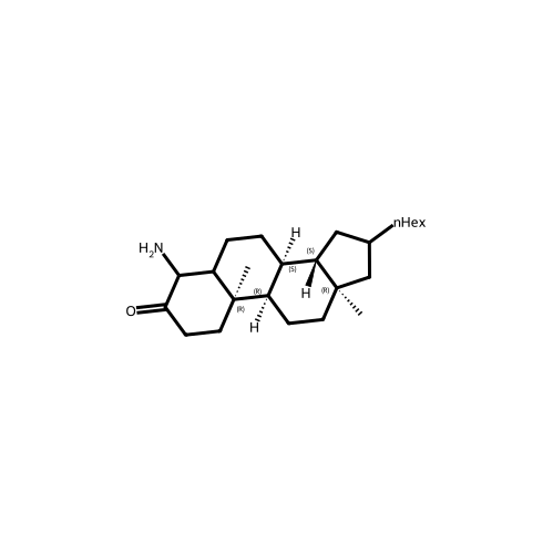 CCCCCCC1C[C@H]2[C@@H]3CCC4C(N)C(=O)CC[C@]4(C)[C@@H]3CC[C@]2(C)C1